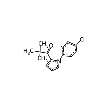 CC(C)(C)C(=O)c1cccn1-c1ccc(Cl)cn1